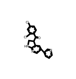 O=C(c1ccc(Cl)cc1Cl)C1CNc2ncc(-c3cccnc3)cc21